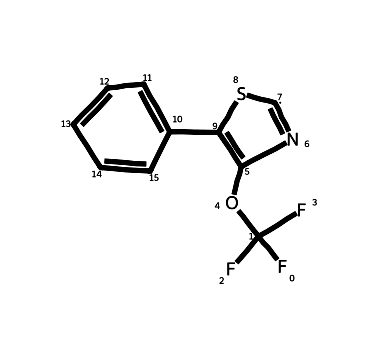 FC(F)(F)Oc1n[c]sc1-c1ccccc1